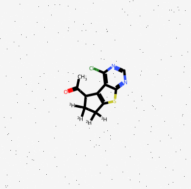 [2H]C1([2H])c2sc3ncnc(Cl)c3c2C(C(C)=O)C1([2H])[2H]